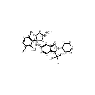 Cl.Fc1ccc(Cl)c(Cl)c1[C@@]1(Nc2ccc3c(C(F)(F)F)n(C4CCOCC4)nc3c2)CCNC1